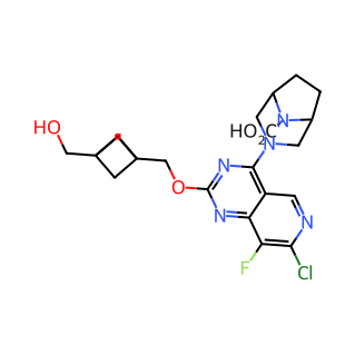 O=C(O)N1C2CCC1CN(c1nc(OCC34CC(CO)(C3)C4)nc3c(F)c(Cl)ncc13)C2